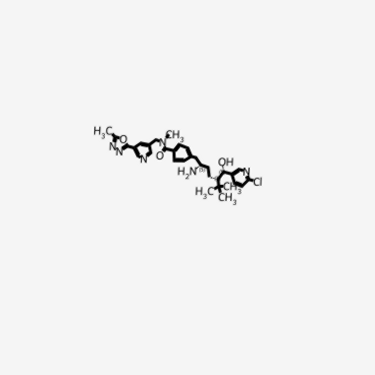 Cc1nnc(-c2cncc(CN(C)C(=O)c3ccc(C[C@@H](N)CC[C@H]([C@H](O)c4ccc(Cl)nc4)C(C)(C)C)cc3)c2)o1